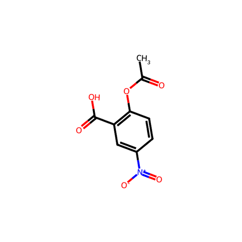 CC(=O)Oc1ccc([N+](=O)[O-])cc1C(=O)O